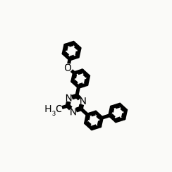 Cc1nc(-c2cccc(Oc3ccccc3)c2)nc(-c2cccc(-c3ccccc3)c2)n1